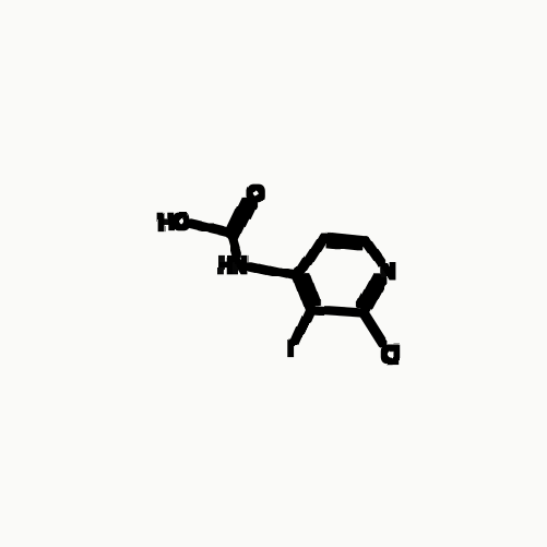 O=C(O)Nc1ccnc(Cl)c1I